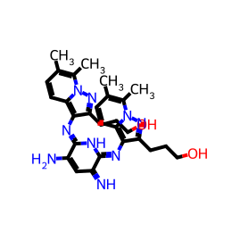 Cc1ccc2c(/N=C3\N/C(=N\c4c(CCCO)nn5c(C)c(C)ccc45)C(N)=CC3=N)c(CCCO)nn2c1C